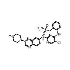 CN1CCN(c2cnc3ccc(Nc4ncc(Cl)c(Nc5ccccc5CS(N)(=O)=O)n4)cc3n2)CC1